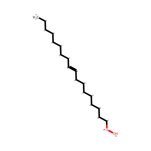 CCCCCCCCC=CCCCCCCCCOO